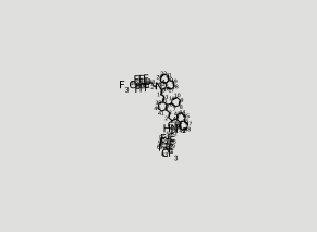 C=C(/C=C/C1=C(c2ccccc2)C(=C/C=c2\c3cccc4cccc(c43)n2CCC(F)(F)C(F)(F)C(F)(F)C(F)(F)F)/CCC1)c1cccc2cccc(NCCC(F)(F)C(F)(F)C(F)(F)C(F)(F)F)c12